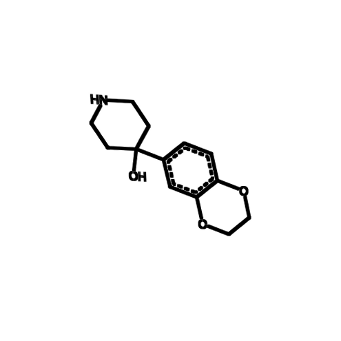 OC1(c2ccc3c(c2)OCCO3)CCNCC1